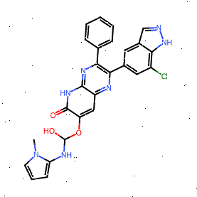 Cn1cccc1NC(O)Oc1cc2nc(-c3cc(Cl)c4[nH]ncc4c3)c(-c3ccccc3)nc2[nH]c1=O